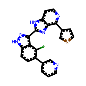 Fc1c(-c2cccnc2)ccc2[nH]nc(-c3nc4c(-c5ccsc5)nccc4[nH]3)c12